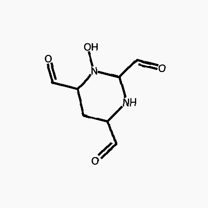 O=CC1CC(C=O)N(O)C(C=O)N1